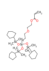 C=CC(=O)OCCOCCC[Si](O[Si](C)(C)C1CCCCC1)(O[Si](C)(C)C1CCCCC1)O[Si](C)(C)C1CCCCC1